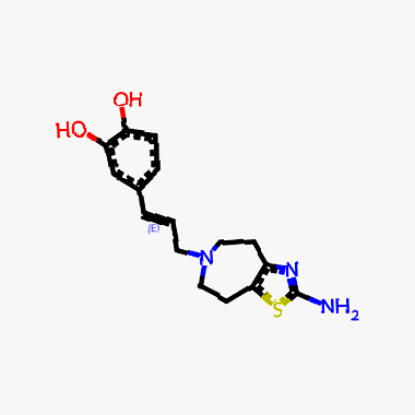 Nc1nc2c(s1)CCN(C/C=C/c1ccc(O)c(O)c1)CC2